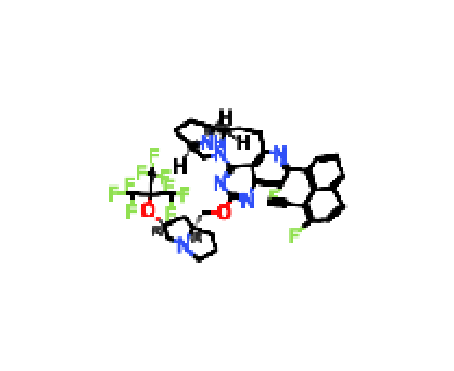 C#Cc1c(F)ccc2cccc(-c3nc4c5c(nc(OC[C@]67CCCN6C[C@H](OC(C(F)(F)F)(C(F)(F)F)C(F)(F)F)C7)nc5c3F)N3C[C@H]5CC[C@H](N5)[C@H]3CC4)c12